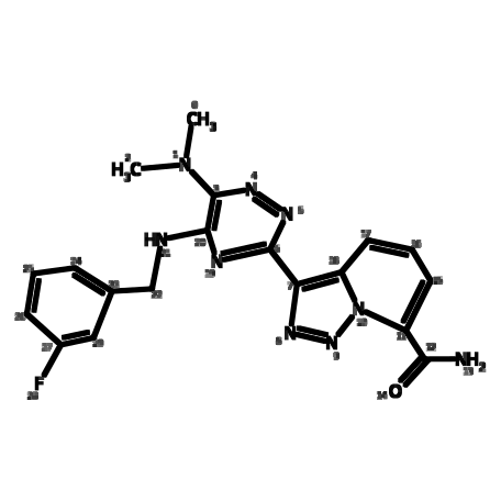 CN(C)c1nnc(-c2nnn3c(C(N)=O)cccc23)nc1NCc1cccc(F)c1